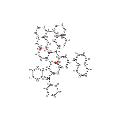 c1ccc(-c2cccc3cccc(-c4ccccc4N(c4cccc(-c5cccc6ccccc56)c4)c4ccccc4-c4cccc5c4c4ccccc4n5-c4ccccc4)c23)cc1